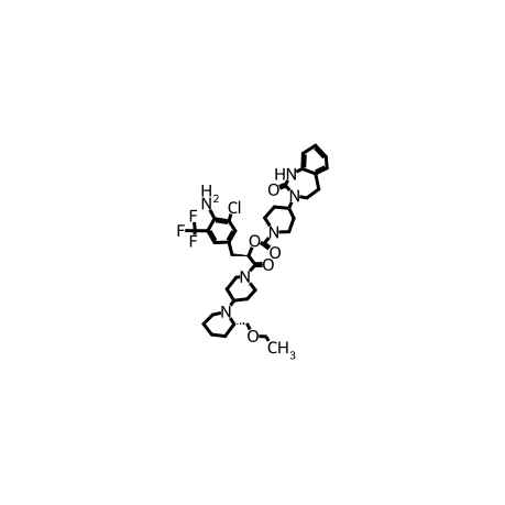 CCOC[C@@H]1CCCCN1C1CCN(C(=O)[C@@H](Cc2cc(Cl)c(N)c(C(F)(F)F)c2)OC(=O)N2CCC(N3CCc4ccccc4NC3=O)CC2)CC1